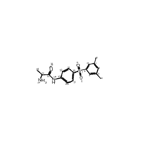 Cc1cc(C)cc(S(=O)(=O)c2ccc(NC(=O)C(C)N)cc2)c1